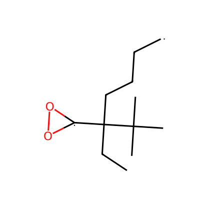 [CH2]CCCC(CC)([C]1OO1)C(C)(C)C